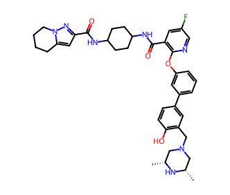 C[C@@H]1CN(Cc2cc(-c3cccc(Oc4ncc(F)cc4C(=O)NC4CCC(NC(=O)c5cc6n(n5)CCCC6)CC4)c3)ccc2O)C[C@H](C)N1